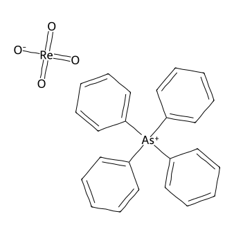 [O]=[Re](=[O])(=[O])[O-].c1ccc([As+](c2ccccc2)(c2ccccc2)c2ccccc2)cc1